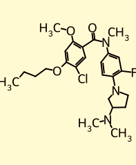 CCCCOc1cc(OC)c(C(=O)N(C)c2ccc(N3CCC(N(C)C)C3)c(F)c2)cc1Cl